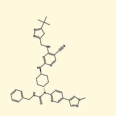 Cn1cc(-c2ccc(N(C(=O)NCc3ccccc3)[C@H]3CC[C@H](Nc4ncc(C#N)c(NCC5=NN=C(C(C)(C)C)C5)n4)CC3)nc2)cn1